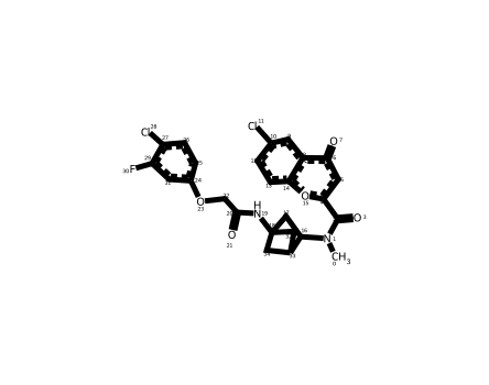 CN(C(=O)c1cc(=O)c2cc(Cl)ccc2o1)C1CC2(NC(=O)COc3ccc(Cl)c(F)c3)CC1C2